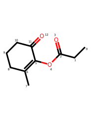 CCC(=O)OC1=C(C)CCCC1=O